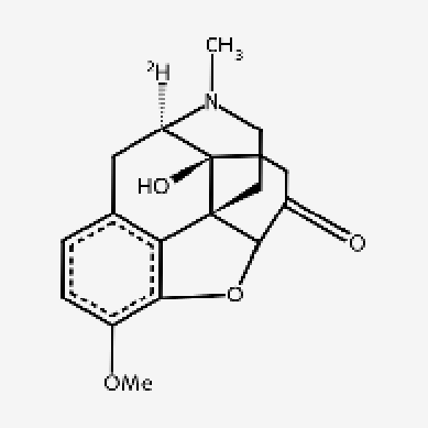 [2H][C@]12Cc3ccc(OC)c4c3[C@@]3(CCN1C)C(O4)C(=O)CC[C@]32O